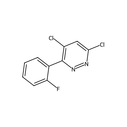 Fc1ccccc1-c1nnc(Cl)cc1Cl